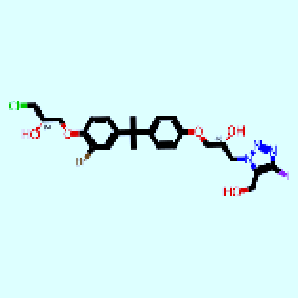 CC(C)(c1ccc(OC[C@H](O)Cn2nnc(I)c2CO)cc1)c1ccc(OC[C@H](O)CCl)c(Br)c1